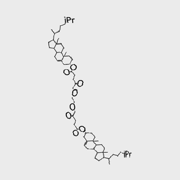 CC(C)CCCC(C)C1CCC2C3CC=C4CC(OC(=O)CCC(=O)COCCOCC(=O)CCC(=O)OC5CCC6(C)C(=CCC7C6CCC6(C)C(C(C)CCCC(C)C)CCC76)C5)CCC4(C)C3CCC12C